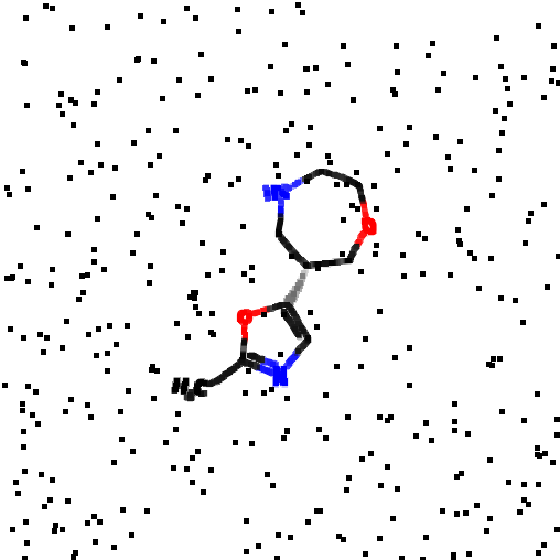 Cc1ncc([C@@H]2CNCCOC2)o1